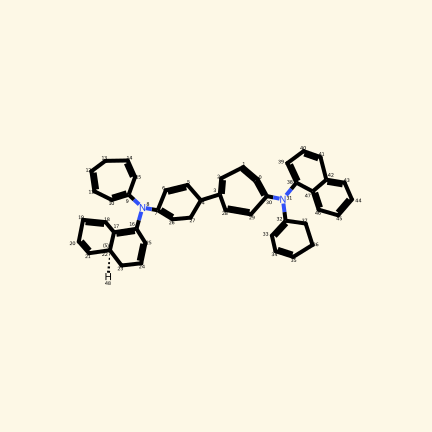 C1=CC=C(C2C=CC(N(C3=CC=CCC=C3)C3=C4C=CC=C[C@@H]4CC=C3)=CC2)C=CC=1N(C1=CC=CCC1)c1cccc2ccccc12